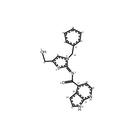 O=C(/N=c1\sc(CO)cn1Cc1ccccc1)c1ccnc2[nH]ccc12